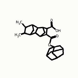 CC1C(C)C2CC1C1C3CC(C(C(=O)OC45CC6CC(CC(C6)C4)C5)C3C(=O)O)C21